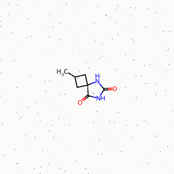 CC1CC2(C1)NC(=O)NC2=O